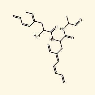 C=C/C=C\C=C(/C=C)CC(NC(=O)C(N)CC(/C=C\C=C)=C/C)C(=O)NC(C)C=O